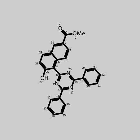 COC(=O)c1ccc2c(-c3nc(-c4ccccc4)nc(-c4ccccc4)n3)c(O)ccc2c1